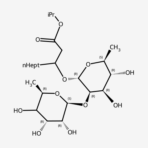 CCCCCCCC(CC(=O)OC(C)C)O[C@@H]1O[C@@H](C)[C@H](O)[C@@H](O)[C@H]1O[C@@H]1O[C@H](C)C(O)[C@@H](O)[C@H]1O